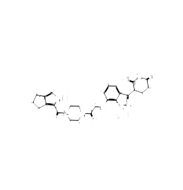 Cn1nc(C2CCC(=O)NC2=O)c2cccc(OCC(=O)N3CCN(C(=O)c4[nH]cc5c4CCC5)CC3)c21